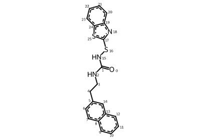 O=C(NCCc1ccc2ccccc2c1)NSc1nc2ccccc2s1